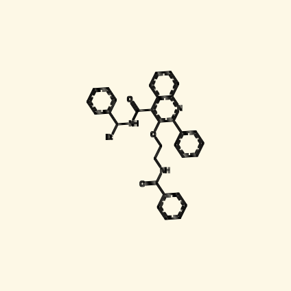 CCC(NC(=O)c1c(OCCNC(=O)c2ccccc2)c(-c2ccccc2)nc2ccccc12)c1ccccc1